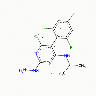 CC(C)Nc1nc(NN)nc(Cl)c1-c1c(F)cc(F)cc1F